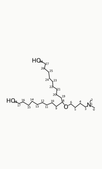 CN(C)CCCCOC(CCCCCCCCCO)CCCCCCCCCO